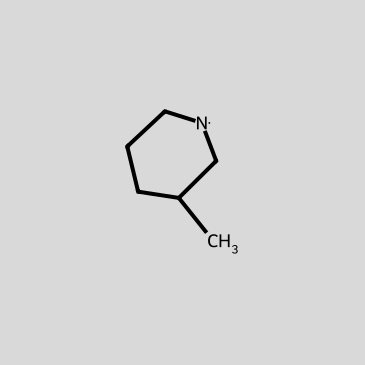 CC1CCC[N]C1